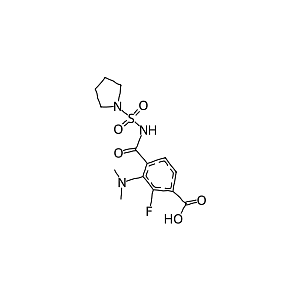 CN(C)c1c(C(=O)NS(=O)(=O)N2CCCC2)ccc(C(=O)O)c1F